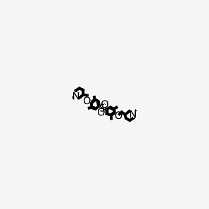 Cc1cc(S(=O)(=O)c2cc(C)c(OCC3CCCN(C)C3)c(C)c2)cc(C)c1OCC1CCCN(C)C1